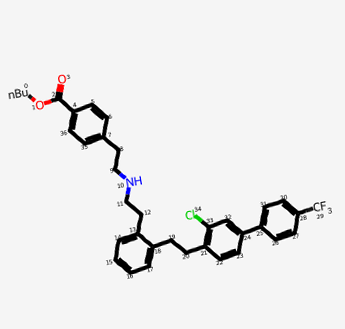 CCCCOC(=O)c1ccc(CCNCCc2ccccc2CCc2ccc(-c3ccc(C(F)(F)F)cc3)cc2Cl)cc1